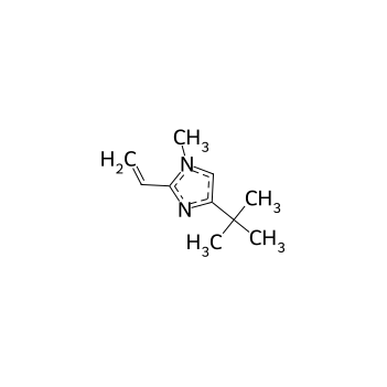 C=Cc1nc(C(C)(C)C)cn1C